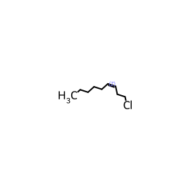 CCCCC/C=C\CCCl